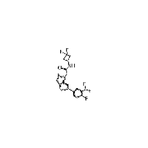 O=C(Cn1ncc2ncc(-c3ccc(F)c(C(F)F)c3)cc21)NC1CC(F)(F)C1